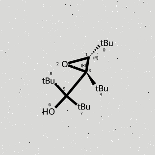 CC(C)(C)[C@H]1O[C@@]1(C(C)(C)C)C(O)(C(C)(C)C)C(C)(C)C